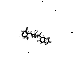 CC(NC(=O)C=Cc1c(F)cccc1F)c1ccc2c(c1)CCO2